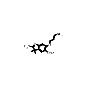 COc1cc2c(cc1OCCCN)N=C(N)C2(C)C